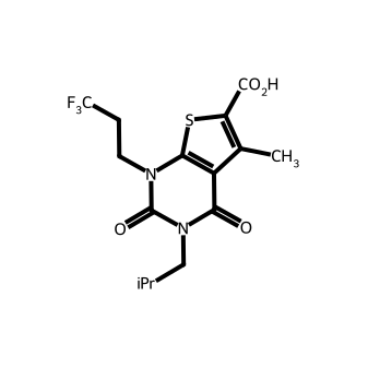 Cc1c(C(=O)O)sc2c1c(=O)n(CC(C)C)c(=O)n2CCC(F)(F)F